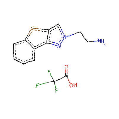 NCCn1cc2sc3ccccc3c2n1.O=C(O)C(F)(F)F